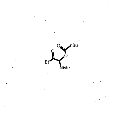 CCCCC(=O)OC(NC)C(=O)CC